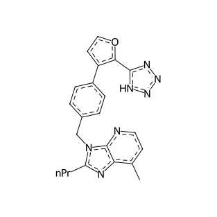 CCCc1nc2c(C)ccnc2n1Cc1ccc(-c2ccoc2-c2nnn[nH]2)cc1